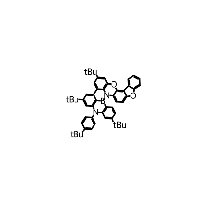 CC(C)(C)c1ccc(N2c3cc(C(C)(C)C)ccc3B3c4c(cc(C(C)(C)C)cc42)-c2cc(C(C)(C)C)cc4c2N3c2ccc3oc5ccccc5c3c2O4)cc1